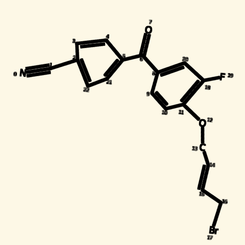 N#Cc1ccc(C(=O)c2ccc(OCC=CCBr)c(F)c2)cc1